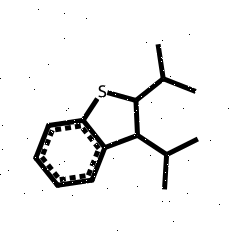 CC(C)C1Sc2ccccc2C1C(C)C